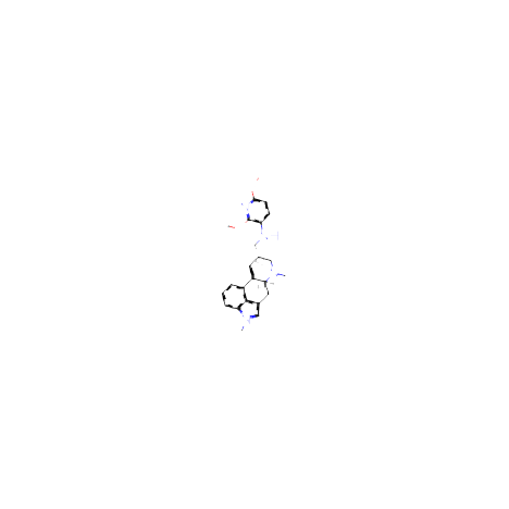 COc1ccc(NC[C@@H]2C=C3c4cccc5c4c(cn5C)C[C@H]3N(C)C2)c(OC)n1